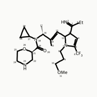 CCC(=N)C1C=C(C(F)(F)F)N(CCCOC)C1/C=C(\C)[C@@H](C)N(C(=O)[C@H]1CNCCO1)C1CC1